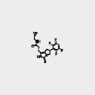 O=C(CCc1[nH]c(=S)n2c1CC(c1c(F)c(F)cc(F)c1F)C2)NCC1CC1